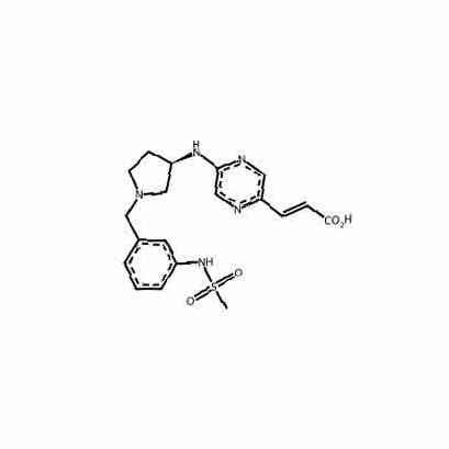 CS(=O)(=O)Nc1cccc(CN2CC[C@@H](Nc3cnc(/C=C/C(=O)O)cn3)C2)c1